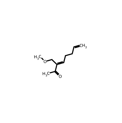 C=CCC/C=C(\COC)C(C)=O